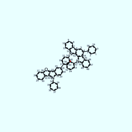 c1ccc(-c2cc3c4ccccc4n(-c4ccc(-c5ccc6c(c5)c5oc7ccccc7c5n6-c5ccccc5)cc4)c3c3c2c2ccccc2n3-c2ccccc2)cc1